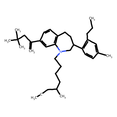 C=C(CC(C)(C)C)c1ccc2c(c1)N(CCCCC(C)CCC)CC(c1ccc(C)cc1CCC)CC2